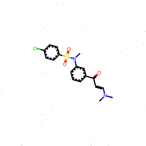 CN(C)/C=C/C(=O)c1cccc(N(C)S(=O)(=O)c2ccc(Cl)cc2)c1